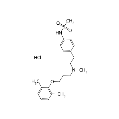 Cc1cccc(C)c1OCCCN(C)CCc1ccc(NS(C)(=O)=O)cc1.Cl